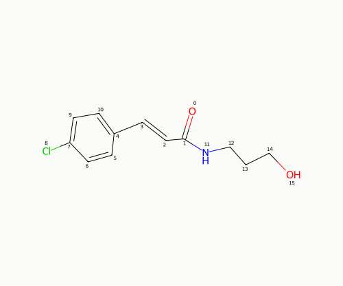 O=C(/C=C/c1ccc(Cl)cc1)NCCCO